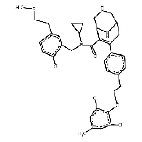 COCCc1ccc(Cl)c(CN(C(=O)C2=C(c3ccc(CCOc4c(Cl)cc(C)cc4Cl)cc3)CC3CNCC2N3)C2CC2)c1